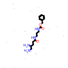 NCC(N)CCC(=O)NCCCNC(=O)OCc1ccccc1